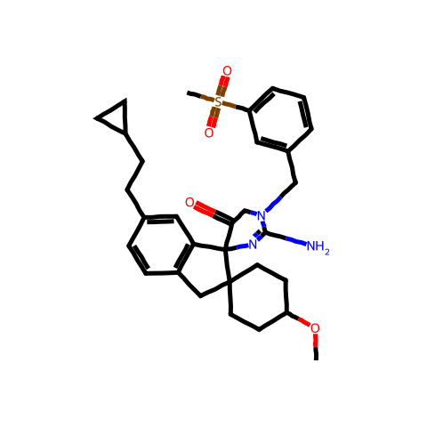 COC1CCC2(CC1)Cc1ccc(CCC3CC3)cc1C21N=C(N)N(Cc2cccc(S(C)(=O)=O)c2)CC1=O